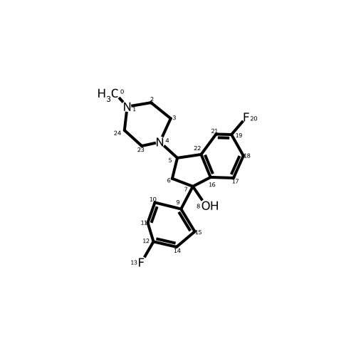 CN1CCN(C2CC(O)(c3ccc(F)cc3)c3ccc(F)cc32)CC1